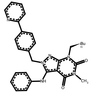 CC[C@H](C)Cn1c(=O)n(C)c(=O)c2c(Nc3ccccc3)n(Cc3ccc(-c4ccccn4)cc3)nc21